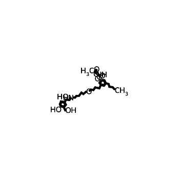 CCCCCc1cc(CCCCOCCCCCCNCC(O)c2ccc(O)c(CO)c2)cc(S(=O)(=O)NOC(C)=O)c1